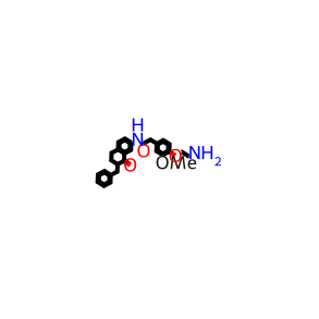 COc1cc(CC(=O)Nc2ccc3c(c2)C(=O)C(Cc2ccccc2)CC3)ccc1OCCN